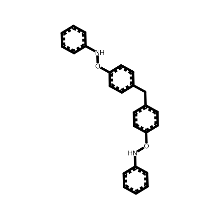 c1ccc(NOc2ccc(Cc3ccc(ONc4ccccc4)cc3)cc2)cc1